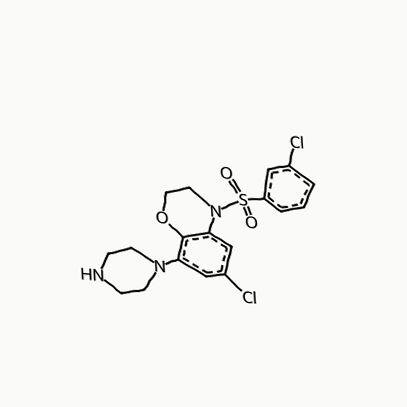 O=S(=O)(c1cccc(Cl)c1)N1CCOc2c(N3CCNCC3)cc(Cl)cc21